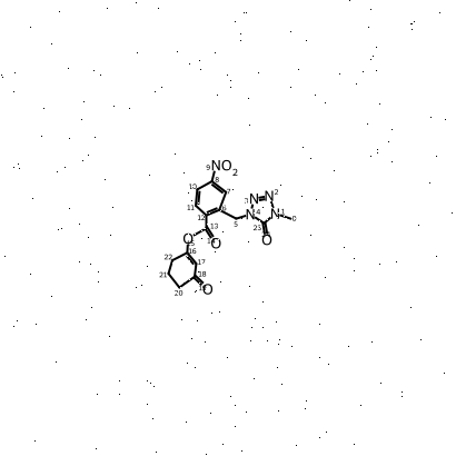 Cn1nnn(Cc2cc([N+](=O)[O-])ccc2C(=O)OC2=CC(=O)CCC2)c1=O